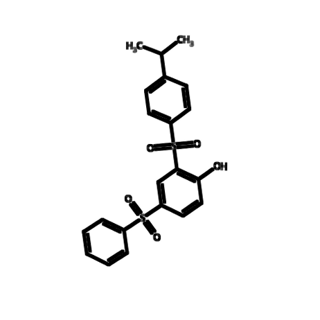 CC(C)c1ccc(S(=O)(=O)c2cc(S(=O)(=O)c3ccccc3)ccc2O)cc1